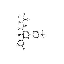 O=C(NC(F)[C@H](O)C(F)F)c1cc(-c2ccc(C(F)(F)F)cc2)nn(-c2cccc(F)c2)c1=O